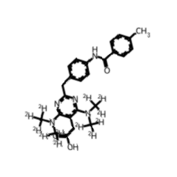 [2H]C([2H])([2H])N(c1nc(Cc2ccc(NC(=O)c3ccc(C)cc3)cc2)nc(N(C([2H])([2H])[2H])C([2H])([2H])[2H])c1CC(=O)O)C([2H])([2H])[2H]